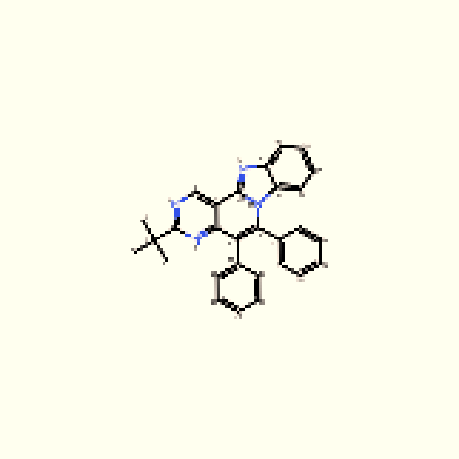 CC(C)(C)c1ncc2c(n1)c(-c1ccccc1)c(-c1ccccc1)n1c3ccccc3nc21